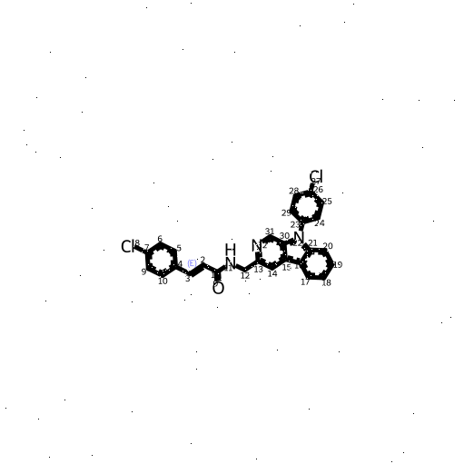 O=C(/C=C/c1ccc(Cl)cc1)NCc1cc2c3ccccc3n(-c3ccc(Cl)cc3)c2cn1